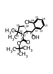 CC(C)(C)OC(=O)N1[C@@H]([C@@H](O)c2ccccc2Cl)CCC1(C)C